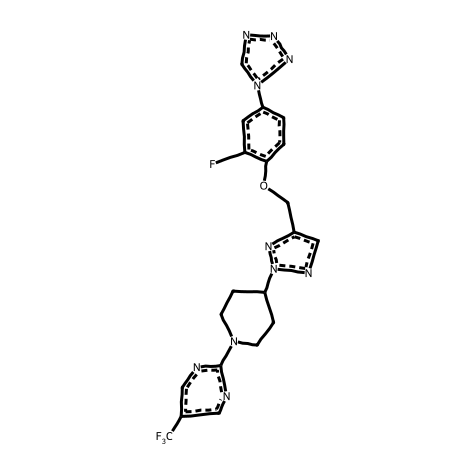 Fc1cc(-n2cnnn2)ccc1OCc1cnn(C2CCN(c3ncc(C(F)(F)F)cn3)CC2)n1